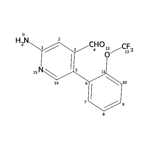 Nc1cc(C=O)c(-c2ccccc2OC(F)(F)F)cn1